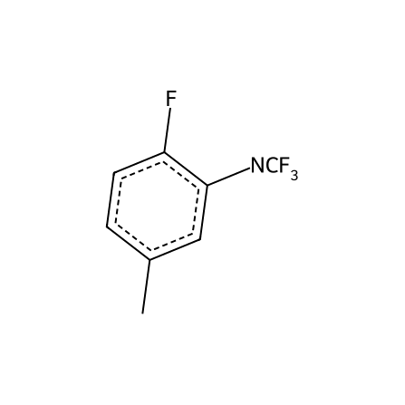 Cc1ccc(F)c(NC(F)(F)F)c1